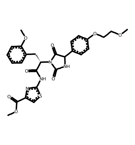 COCCOc1ccc(C2NC(=O)N([C@@H](Cc3ccccc3OC)C(=O)Nc3nc(C(=O)OC)cs3)C2=O)cc1